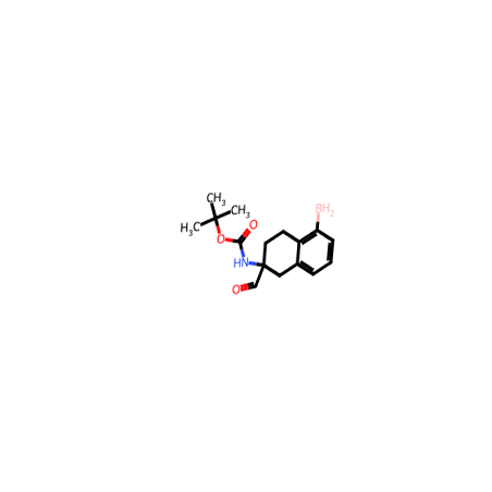 Bc1cccc2c1CCC(C=O)(NC(=O)OC(C)(C)C)C2